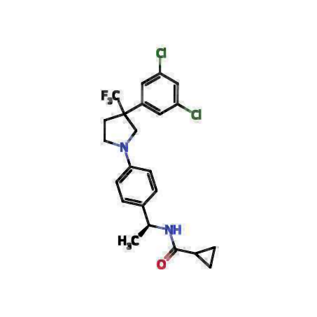 C[C@H](NC(=O)C1CC1)c1ccc(N2CCC(c3cc(Cl)cc(Cl)c3)(C(F)(F)F)C2)cc1